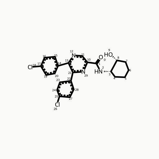 O=C(N[C@H]1CCCC[C@H]1O)c1cnc(-c2ccc(Cl)cc2)c(-c2ccc(Cl)cc2)n1